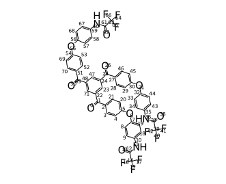 O=C(c1ccc(Oc2ccc(NC(=O)C(F)(F)F)cc2)cc1)c1cc(C(=O)c2ccc(Oc3ccc(NC(=O)C(F)(F)F)cc3)cc2)cc(C(=O)c2ccc(Oc3ccc(NC(=O)C(F)(F)F)cc3)cc2)c1